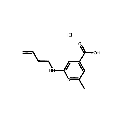 C=CCCNc1cc(C(=O)O)cc(C)n1.Cl